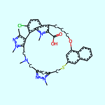 Cc1nn(C)c2c1-c1c(Cl)ccc3c(c(C(=O)O)n(C)c13)CCCOc1cc(cc3ccccc13)SCc1cc(nn1C)CN(C)C2